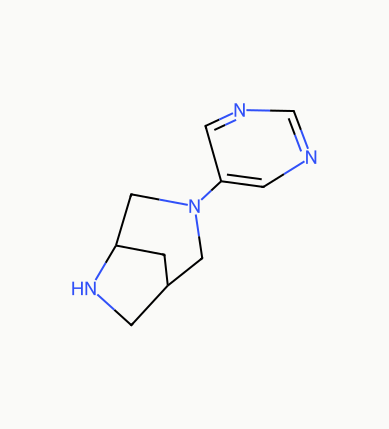 c1ncc(N2CC3CNC(C3)C2)cn1